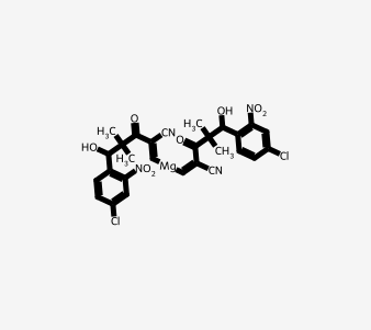 CC(C)(C(=O)C(C#N)=[CH][Mg][CH]=C(C#N)C(=O)C(C)(C)C(O)c1ccc(Cl)cc1[N+](=O)[O-])C(O)c1ccc(Cl)cc1[N+](=O)[O-]